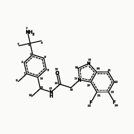 Cc1cc(C(C)(C)N)ccc1C(C)NC(=O)Cn1cnc2ccc(F)c(F)c21